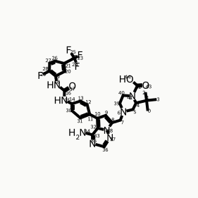 CC(C)(C)C1CN(Cc2cc(-c3ccc(NC(=O)Nc4cc(C(F)(F)F)ccc4F)cc3)c3c(N)ncnn23)CCN1C(=O)O